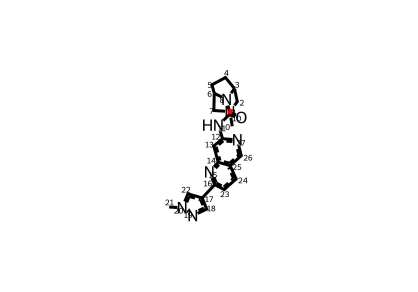 CN1CC2CCC(C1)N2C(=O)Nc1cc2nc(-c3cnn(C)c3)ccc2cn1